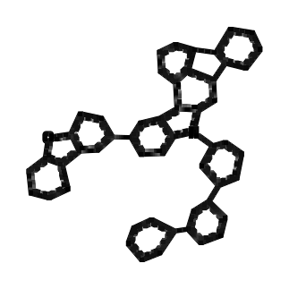 c1ccc(-c2cccc(-c3cccc(-n4c5ccc(-c6ccc7oc8ccccc8c7c6)cc5c5c6cccc7c6c(cc54)-c4ccccc4-7)c3)c2)cc1